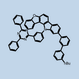 CCCCc1cccc(-c2cccc(-c3ccc4c5ccc6oc7ccccc7c6c5n(-c5cccc(-c6nc(-c7ccccc7)nc(-c7ccccc7)n6)c5)c4c3)c2)c1